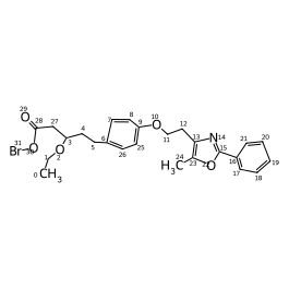 CCOC(CCc1ccc(OCCc2nc(-c3ccccc3)oc2C)cc1)CC(=O)OBr